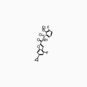 CCOc1c(F)cccc1[S+]([O-])NC(=O)c1cc2c(F)cc(C3CC3)cc2o1